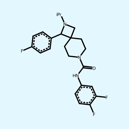 CC(C)N1CC2(CCN(C(=O)Nc3ccc(F)c(F)c3)CC2)C1c1ccc(F)cc1